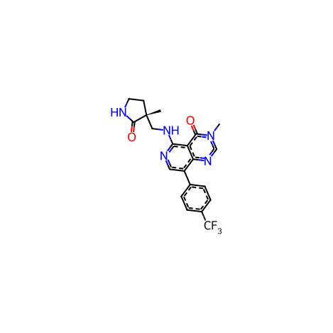 Cn1cnc2c(-c3ccc(C(F)(F)F)cc3)cnc(NC[C@@]3(C)CCNC3=O)c2c1=O